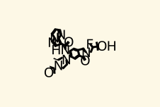 C[C@H]1CN(c2cc3c(cc2NC(=O)c2cnn4cccnc24)CN(CC(F)C(C)(C)O)C3=O)CCN1C1COC1